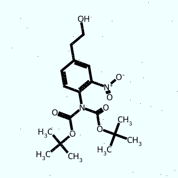 CC(C)(C)OC(=O)N(C(=O)OC(C)(C)C)c1ccc(CCO)cc1[N+](=O)[O-]